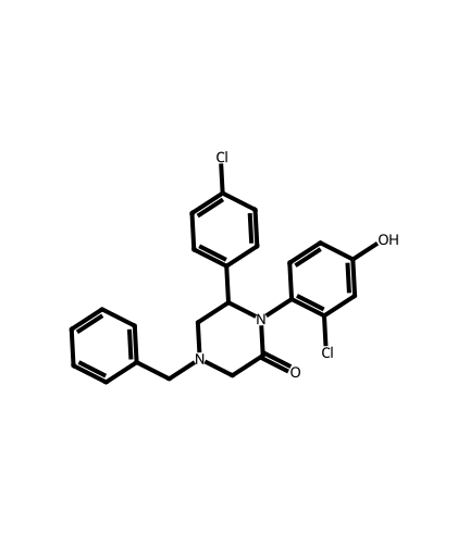 O=C1CN(Cc2ccccc2)CC(c2ccc(Cl)cc2)N1c1ccc(O)cc1Cl